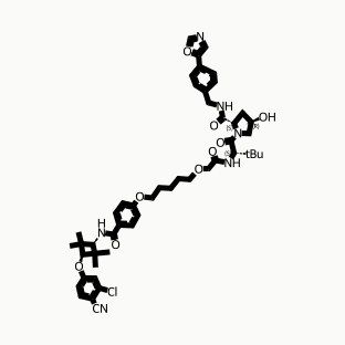 CC(C)(C)[C@H](NC(=O)COCCCCCOc1ccc(C(=O)N[C@H]2C(C)(C)[C@H](Oc3ccc(C#N)c(Cl)c3)C2(C)C)cc1)C(=O)N1C[C@H](O)C[C@H]1C(=O)NCc1ccc(-c2cnco2)cc1